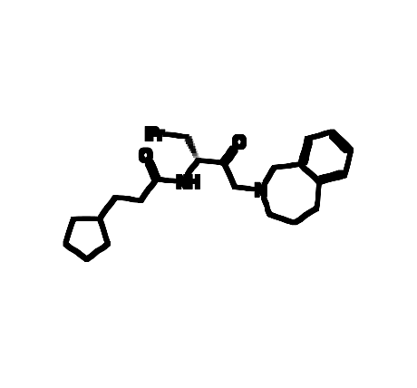 CC(C)C[C@@H](NC(=O)CCC1CCCC1)C(=O)CN1CCCc2ccccc2C1